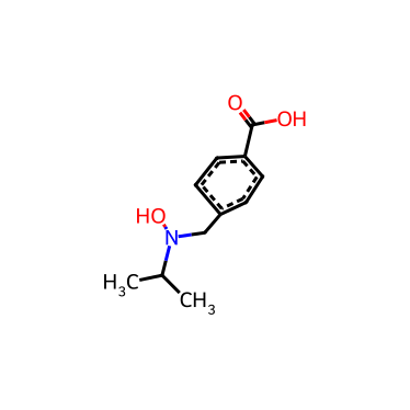 CC(C)N(O)Cc1ccc(C(=O)O)cc1